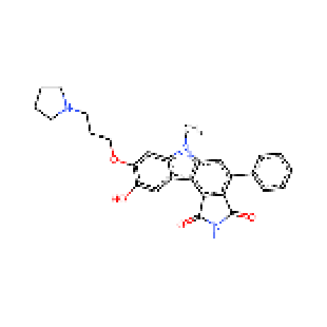 Cn1c2cc(OCCCN3CCCC3)c(O)cc2c2c3c(c(-c4ccccc4)cc21)C(=O)NC3=O